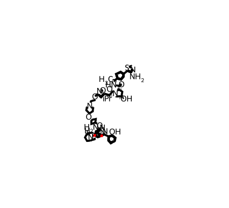 CC(C)[C@@H](C(=O)N1C[C@H](O)C[C@H]1C(=O)N[C@@H](C)c1ccc(-c2scnc2N)cc1)c1cc(OCCN2CCC(OC3CC(Oc4cc(N5C6CC[C@@H]5CN(c5cc(-c7ccccc7O)nnc5N)C6)ccn4)C3)CC2)no1